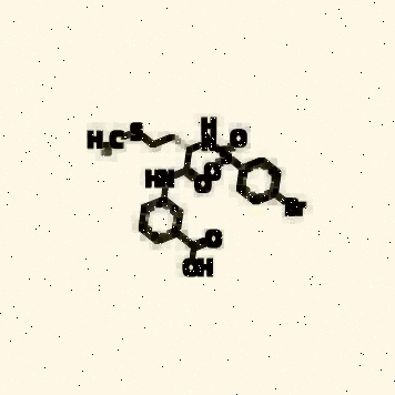 CSCC[C@H](NS(=O)(=O)c1ccc(Br)cc1)C(=O)Nc1cccc(C(=O)O)c1